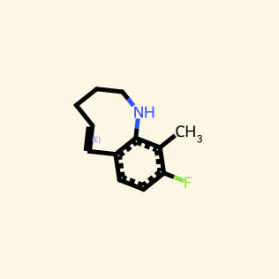 Cc1c(F)ccc2c1NCCC/C=C/2